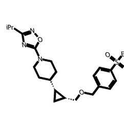 CCS(=O)(=O)c1ccc(COC[C@@H]2C[C@@H]2C2CCN(c3nc(C(C)C)no3)CC2)cc1